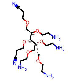 N#CCCOC[C@@H](OCCN)[C@@H](OCCC#N)[C@H](OCCN)[C@H](COCCN)OCCN